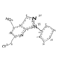 Oc1nc(CCl)nc2c1cnn2-c1ccccc1